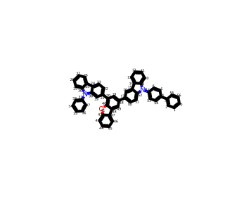 c1ccc(-c2ccc(-n3c4ccccc4c4cc(-c5cc(-c6ccc7c8ccccc8n(-c8ccccc8)c7c6)c6oc7ccccc7c6c5)ccc43)cc2)cc1